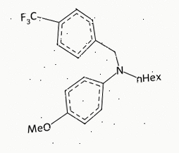 CCCCCCN(Cc1ccc(C(F)(F)F)cc1)c1ccc(OC)cc1